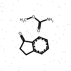 COC(N)=O.O=C1CCc2ccccc21